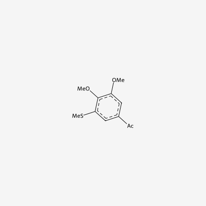 COc1cc(C(C)=O)cc(SC)c1OC